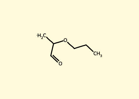 [CH2]C(C=O)OCCC